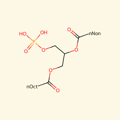 CCCCCCCCCC(=O)OC(COC(=O)CCCCCCCC)COP(=O)(O)O